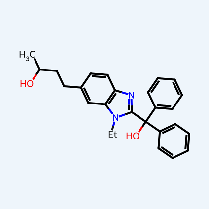 CCn1c(C(O)(c2ccccc2)c2ccccc2)nc2ccc(CCC(C)O)cc21